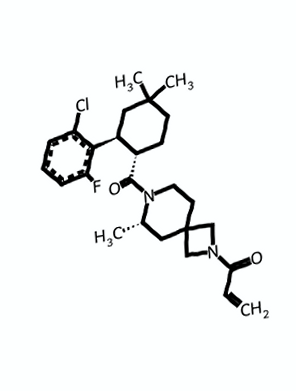 C=CC(=O)N1CC2(CCN(C(=O)[C@H]3CCC(C)(C)C[C@@H]3c3c(F)cccc3Cl)[C@@H](C)C2)C1